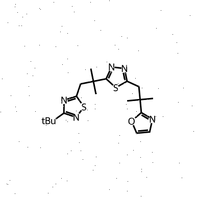 CC(C)(C)c1nsc(CC(C)(C)c2nnc(CC(C)(C)c3ncco3)s2)n1